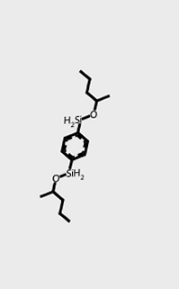 CCCC(C)O[SiH2]c1ccc([SiH2]OC(C)CCC)cc1